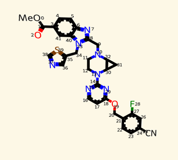 COC(=O)c1ccc2nc(CN3CCN(c4nccc(OCc5ccc(C#N)cc5F)n4)C4CC43)n(Cc3cncs3)c2c1